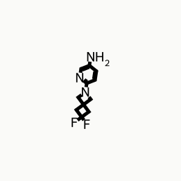 Nc1ccc(N2CC3(C2)CC(F)(F)C3)nc1